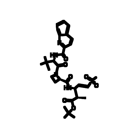 C[C@@H](C(=O)OC(C)(C)C)[C@@H](/C=C/S(C)(=O)=O)NC(=O)[C@H]1CCN1C(=O)[C@@H](NC(=O)c1ccc2ccccc2n1)C(C)(C)C